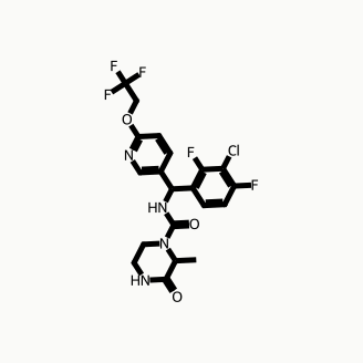 CC1C(=O)NCCN1C(=O)NC(c1ccc(OCC(F)(F)F)nc1)c1ccc(F)c(Cl)c1F